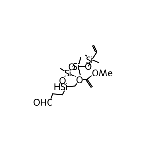 C=C[Si](C)(C)O[Si](C)(C)O[Si](C)(C)O[SiH](CCC=O)COC(=C)OC